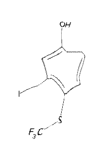 Oc1ccc(SC(F)(F)F)c(I)c1